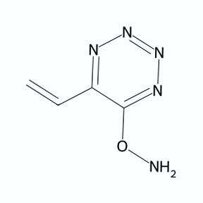 C=Cc1nnnnc1ON